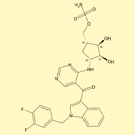 NS(=O)(=O)OC[C@H]1C[C@@H](Nc2ncncc2C(=O)c2cn(Cc3ccc(F)c(F)c3)c3ccccc23)[C@H](O)[C@@H]1O